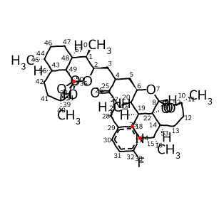 C[C@H]1[C@@H](CC(C[C@H]2O[C@@H]3O[C@]4(C)CC[C@H]5[C@H](C)CC[C@@H]([C@H]2C)[C@@]35OO4)C(=O)NCc2ccc(F)nc2)O[C@@H]2O[C@]3(C)CC[C@H]4[C@H](C)CC[C@@H]1[C@@]24OO3